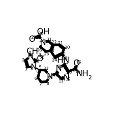 Cn1ccn([C@@H]2CCCN(c3cnc(C(N)=O)c(Nc4ccc5c(c4)CCN(C(=O)O)C5)n3)C2)c1=O